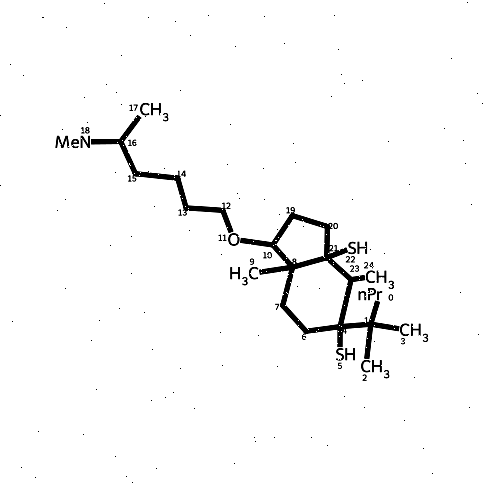 CCCC(C)(C)C1(S)CCC2(C)C(OCCCCC(C)NC)CCC2(S)C1C